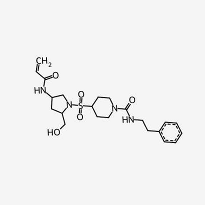 C=CC(=O)NC1CC(CO)N(S(=O)(=O)C2CCN(C(=O)NCCc3ccccc3)CC2)C1